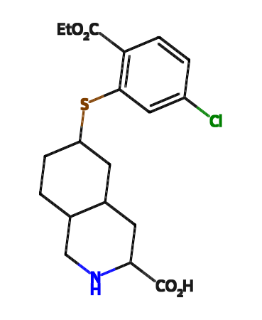 CCOC(=O)c1ccc(Cl)cc1SC1CCC2CNC(C(=O)O)CC2C1